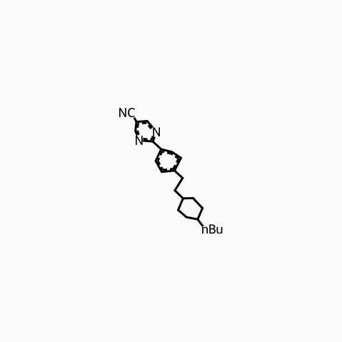 CCCCC1CCC(CCc2ccc(-c3ncc(C#N)cn3)cc2)CC1